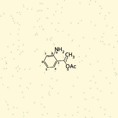 CC(=O)OC(C)c1ccccc1N